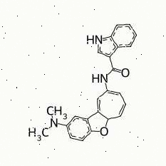 CN(C)c1ccc2c(c1)C1=CC(NC(=O)c3c[nH]c4ccccc34)=CC=CC1O2